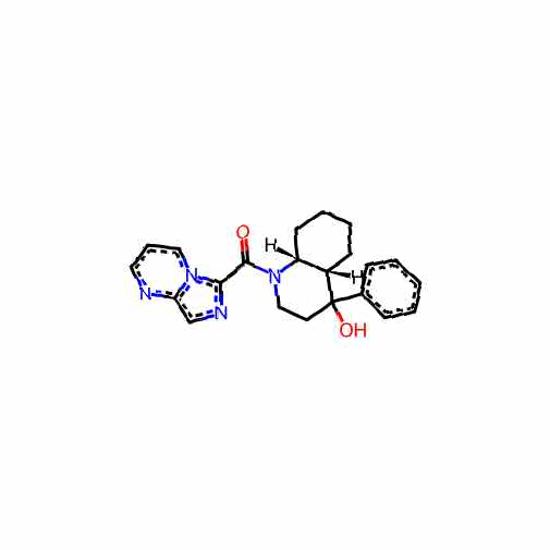 O=C(c1ncc2ncccn12)N1CCC(O)(c2ccccc2)[C@H]2CCCC[C@H]21